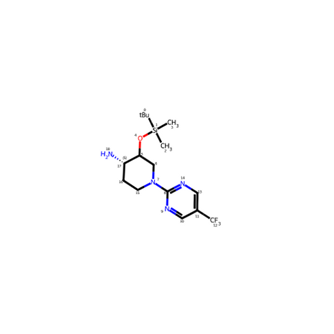 CC(C)(C)[Si](C)(C)OC1CN(c2ncc(C(F)(F)F)cn2)CC[C@@H]1N